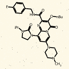 CCCCOc1c(C(=O)NCc2ccc(F)cc2)nc2c(N3CCN(C(C)C)C3=O)cc(N3CCN(C)CC3)cn2c1=O